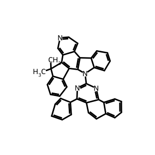 CC1(C)c2ccccc2-c2c1c1cnccc1c1c3ccccc3n(-c3nc(-c4ccccc4)c4ccc5ccccc5c4n3)c21